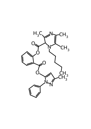 CCCCCN1C(C)=C(C)N=C(C)C1C(=O)Oc1ccccc1C(=O)Oc1cc(C)nn1-c1ccccc1